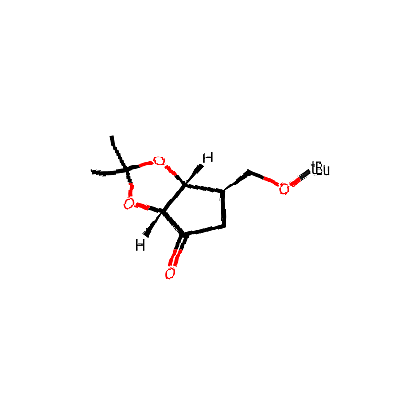 CC(C)(C)OC[C@H]1CC(=O)[C@@H]2OC(C)(C)O[C@H]12